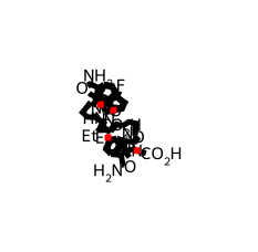 CCc1c(CC)c(C2CCCN2[C@]2(C(=O)NC(=O)O)c3ccc(cc3)C(C(N)=O)C2(C)C)n(-c2ccc(F)cc2C)c1C1CCCN1[C@]1(C(=O)NC(=O)O)c2ccc(cc2)C(C(N)=O)C1(C)C